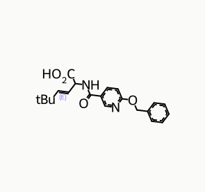 CC(C)(C)/C=C/C(NC(=O)c1ccc(OCc2ccccc2)nc1)C(=O)O